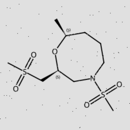 C[C@H]1CCCN(S(C)(=O)=O)C[C@@H](CS(C)(=O)=O)O1